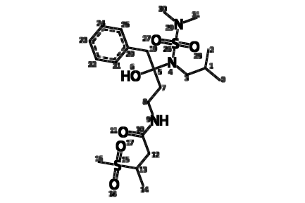 CC(C)CN(C(O)(CCNC(=O)CC(C)S(C)(=O)=O)Cc1ccccc1)S(=O)(=O)N(C)C